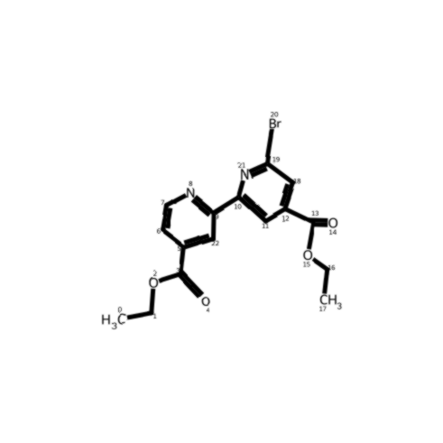 CCOC(=O)c1ccnc(-c2cc(C(=O)OCC)cc(Br)n2)c1